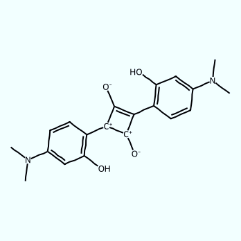 CN(C)c1ccc(-c2c([O-])[c+](-c3ccc(N(C)C)cc3O)[c+]2[O-])c(O)c1